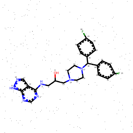 OC(CNc1ncnc2[nH]ncc12)CN1CCN(C(c2ccc(F)cc2)c2ccc(F)cc2)CC1